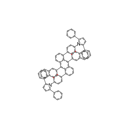 c1ccc(-c2ccc(-c3ccccc3)n2-c2ccc(-c3cccc4c(-c5ccc6ccccc6c5)c5c(-c6ccc(-n7c(-c8ccccc8)ccc7-c7ccccc7)cc6)cccc5c(-c5ccc6ccccc6c5)c34)cc2)cc1